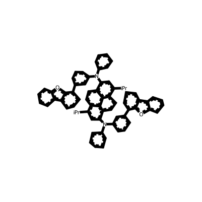 CC(C)c1cc(N(c2ccccc2)c2cccc(-c3cccc4c3oc3ccccc34)c2)c2ccc3c(C(C)C)cc(N(c4ccccc4)c4cccc(-c5cccc6c5oc5ccccc56)c4)c4ccc1c2c34